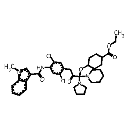 CCOC(=O)C1CCC(OC(C(=O)Cc2cc(Cl)c(NC(=O)c3cn(C)c4ccccc34)cc2Cl)(N2CCCCC2)N2CCCC2)CC1